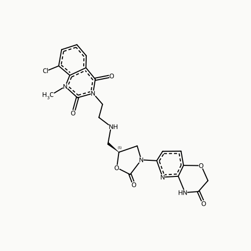 Cn1c(=O)n(CCNC[C@H]2CN(c3ccc4c(n3)NC(=O)CO4)C(=O)O2)c(=O)c2cccc(Cl)c21